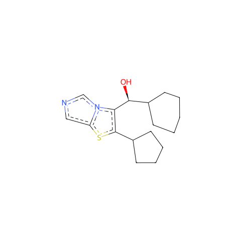 O[C@H](c1c(C2CCCC2)sc2cncn12)C1CCCCC1